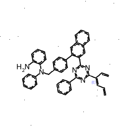 C=C/C=C(\C=C)c1nc(-c2ccccc2)nc(-c2cc3ccccc3cc2-c2ccc(CN(c3ccccc3)c3ccccc3N)cc2)n1